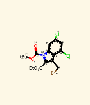 CCOC(=O)c1c(CBr)c2c(Cl)cc(Cl)cc2n1C(=O)OC(C)(C)C